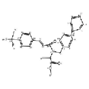 C=C(C(=O)OC)N(Cc1ccc(-c2ccncc2)cc1)C(=O)/C=C/c1ccc(C(F)(F)F)cc1